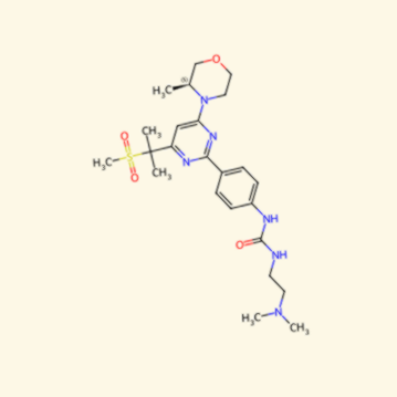 C[C@H]1COCCN1c1cc(C(C)(C)S(C)(=O)=O)nc(-c2ccc(NC(=O)NCCN(C)C)cc2)n1